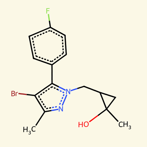 Cc1nn(CC2CC2(C)O)c(-c2ccc(F)cc2)c1Br